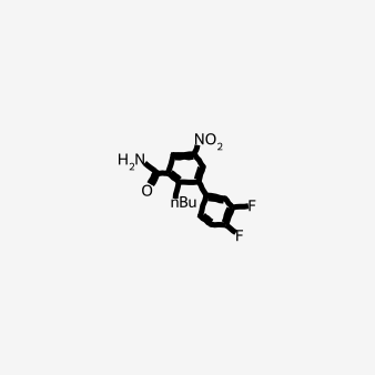 CCCCc1c(C(N)=O)cc([N+](=O)[O-])cc1-c1ccc(F)c(F)c1